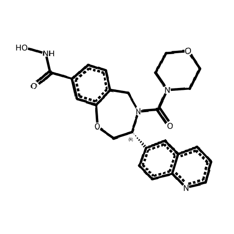 O=C(NO)c1ccc2c(c1)OC[C@@H](c1ccc3ncccc3c1)N(C(=O)N1CCOCC1)C2